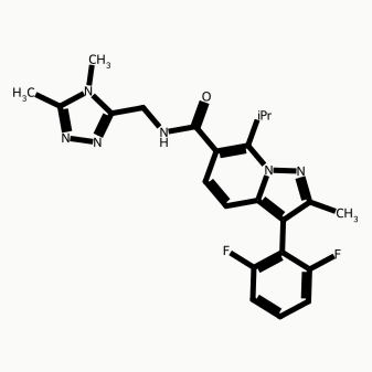 Cc1nn2c(C(C)C)c(C(=O)NCc3nnc(C)n3C)ccc2c1-c1c(F)cccc1F